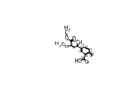 C=C(/C=C(/OC)C(=O)OC)c1ccc(F)c(C(=O)O)c1